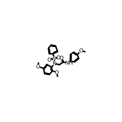 COc1ccc(NC(=O)CN(c2cc(OC)ccc2OC)S(=O)(=O)c2ccccc2)cc1